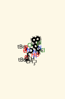 CC(C)(C)OC(=O)N1CC[C@H](Nc2c(CO)c(Cl)nc3c(F)c(-c4cccc5cccc(Cl)c45)c(Cl)cc23)C[C@H]1CCO[Si](C)(C)C(C)(C)C